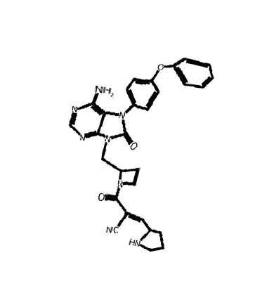 N#CC(=CC1CCCN1)C(=O)N1CCC1Cn1c(=O)n(-c2ccc(Oc3ccccc3)cc2)c2c(N)ncnc21